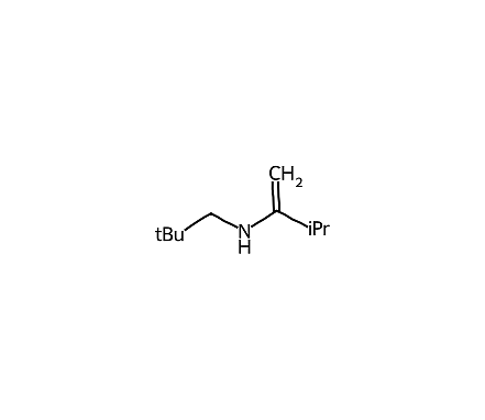 C=C(NCC(C)(C)C)C(C)C